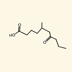 CCCC(=O)CC(C)CCCC(=O)O